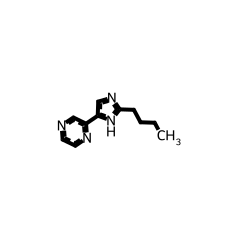 CCCCc1ncc(-c2cnccn2)[nH]1